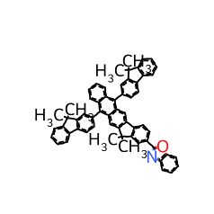 CC1(C)c2ccccc2-c2ccc(-c3c4ccccc4c(-c4ccc5c(c4)C(C)(C)c4ccccc4-5)c4cc5c(cc34)-c3ccc(-c4nc6ccccc6o4)cc3C5(C)C)cc21